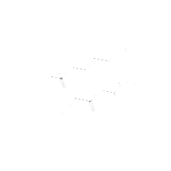 CCCCOC(C)=O.CCOC(=O)CC